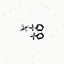 C[P+](C)(C)c1ccccc1.C[P+](C)(C)c1ccccc1.O=S(=O)([O-])[O-]